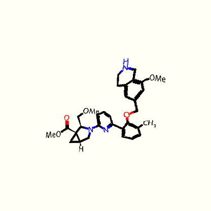 COC[C@H]1N(c2cccc(-c3cccc(C)c3OCc3cc4c(c(OC)c3)CNCC4)n2)C[C@@H]2C[C@@]21C(=O)OC